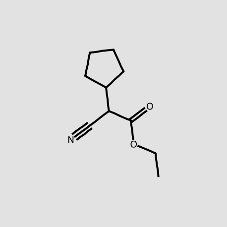 CCOC(=O)C(C#N)C1CCCC1